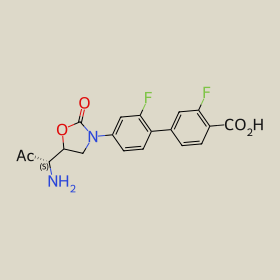 CC(=O)[C@@H](N)C1CN(c2ccc(-c3ccc(C(=O)O)c(F)c3)c(F)c2)C(=O)O1